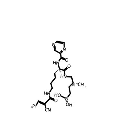 CC(C)C=C(C#N)C(=O)NCCCC[C@H](NC(=O)c1cnccn1)C(=O)NC[C@H](C)CCB(O)O